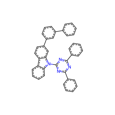 c1ccc(-c2cccc(-c3ccc4c5ccccc5n(-c5nc(-c6ccccc6)nc(-c6ccccc6)n5)c4c3)c2)cc1